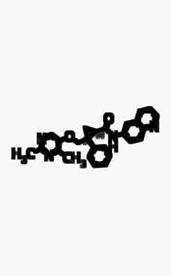 Cc1ncc(OC[C@@]2(c3ccccc3)C[C@H]2C(=O)Nc2ccc3ncccc3c2)c(C)n1